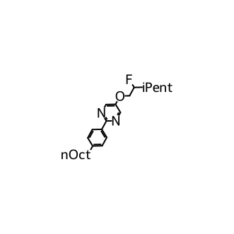 CCCCCCCCc1ccc(-c2ncc(OCC(F)C(C)CCC)cn2)cc1